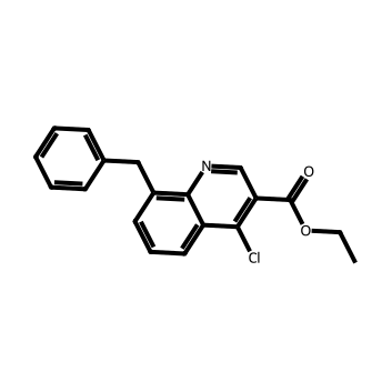 CCOC(=O)c1cnc2c(Cc3ccccc3)cccc2c1Cl